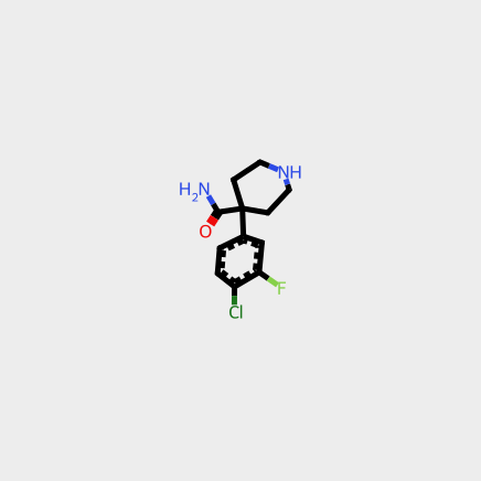 NC(=O)C1(c2ccc(Cl)c(F)c2)CCNCC1